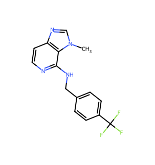 Cn1cnc2ccnc(NCc3ccc(C(F)(F)F)cc3)c21